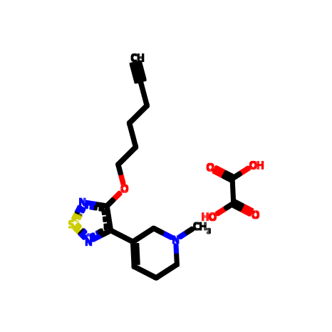 C#CCCCCOc1nsnc1C1=CCCN(C)C1.O=C(O)C(=O)O